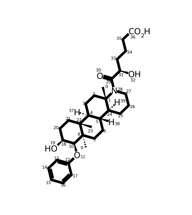 C[C@]12CC[C@H]3[C@@H](CC[C@@]4(C)[C@@H](Oc5ccccc5)[C@@H](O)CC[C@]34C)[C@@H]1CCCN2C(=O)[C@H](O)CCCC(=O)O